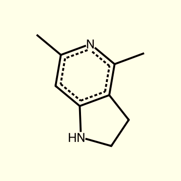 Cc1cc2c(c(C)n1)CCN2